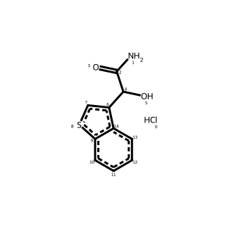 Cl.NC(=O)C(O)c1csc2ccccc12